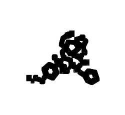 COc1ccc(S(=O)(=O)N(C[C@@H](O)[C@H](Cc2ccccc2)NC(=O)OC2CCOC2)CC2(CCC#N)CCCCC2)cc1